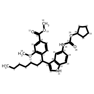 CCCCCCC(c1ccc(C(=O)OC)cc1OC)c1c[nH]c2ccc(NC(=O)OC3CCCC3)cc12